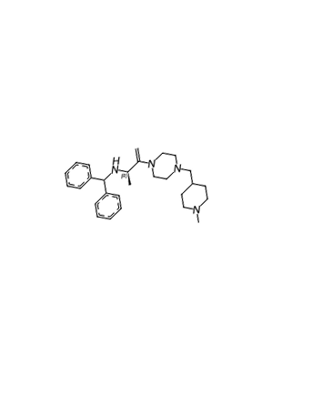 C=C([C@@H](C)NC(c1ccccc1)c1ccccc1)N1CCN(CC2CCN(C)CC2)CC1